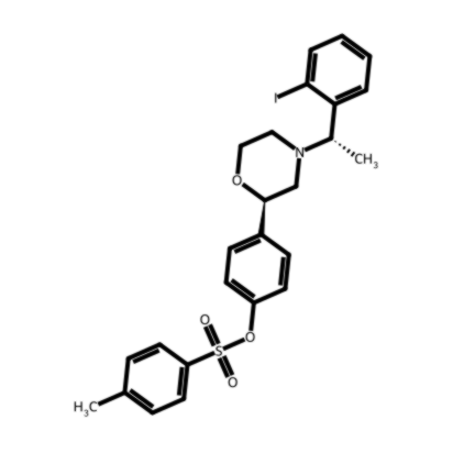 Cc1ccc(S(=O)(=O)Oc2ccc([C@@H]3CN([C@@H](C)c4ccccc4I)CCO3)cc2)cc1